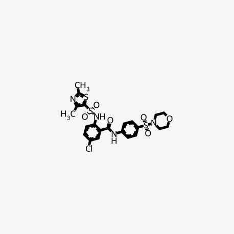 Cc1nc(C)c(S(=O)(=O)Nc2ccc(Cl)cc2C(=O)Nc2ccc(S(=O)(=O)N3CCOCC3)cc2)s1